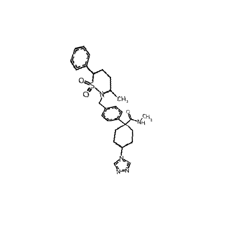 CNC(=O)C1(c2ccc(CN3C(C)CCC(c4ccccc4)S3(=O)=O)cc2)CCC(n2cnnc2)CC1